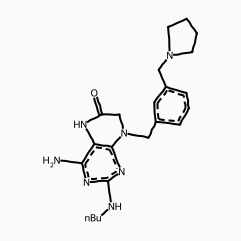 CCCCNc1nc(N)c2c(n1)N(Cc1cccc(CN3CCCC3)c1)CC(=O)N2